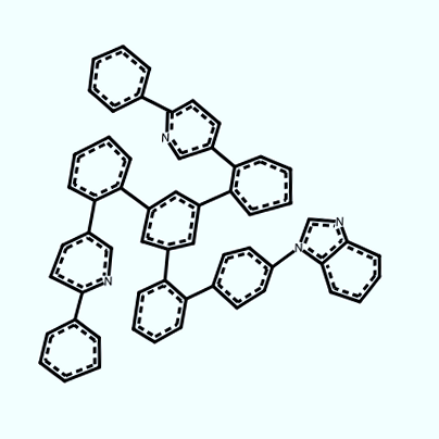 c1ccc(-c2ccc(-c3ccccc3-c3cc(-c4ccccc4-c4ccc(-n5cnc6ccccc65)cc4)cc(-c4ccccc4-c4ccc(-c5ccccc5)nc4)c3)cn2)cc1